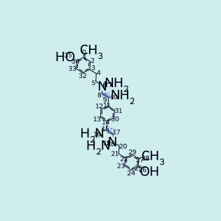 Cc1cc(CCN(N)/C=C(\N)c2ccc(/C(N)=C/N(N)CCc3ccc(O)c(C)c3)cc2)ccc1O